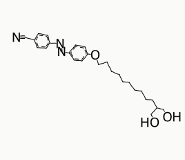 N#Cc1ccc(N=Nc2ccc(OCCCCCCCCCCC(CO)CO)cc2)cc1